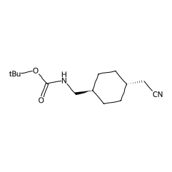 CC(C)(C)OC(=O)NC[C@H]1CC[C@H](CC#N)CC1